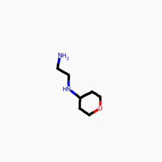 NCCNC1CCOCC1